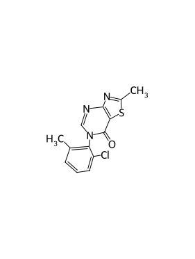 Cc1nc2ncn(-c3c(C)cccc3Cl)c(=O)c2s1